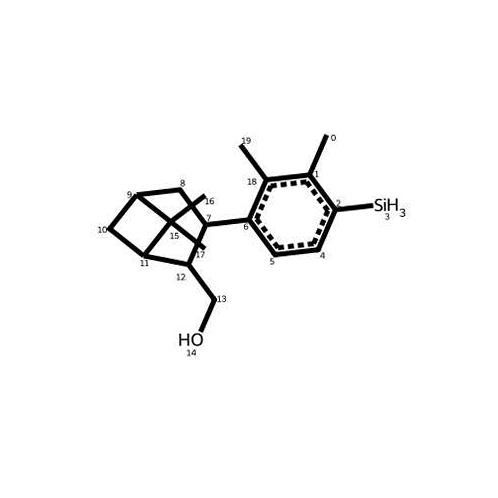 Cc1c([SiH3])ccc(C2CC3CC(C2CO)C3(C)C)c1C